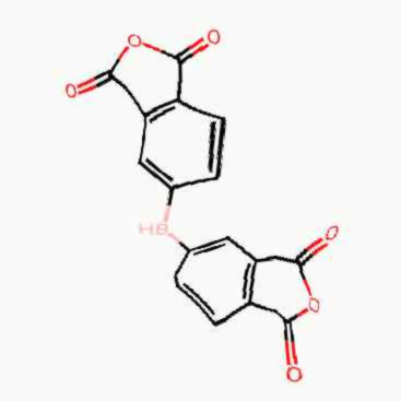 O=C1OC(=O)c2cc(Bc3ccc4c(c3)C(=O)OC4=O)ccc21